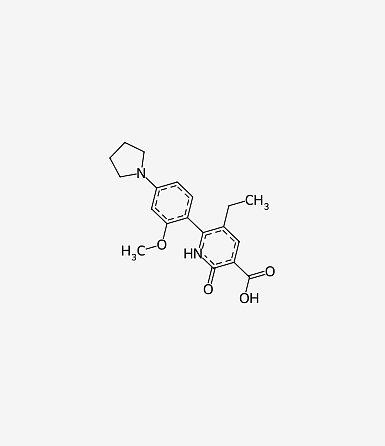 CCc1cc(C(=O)O)c(=O)[nH]c1-c1ccc(N2CCCC2)cc1OC